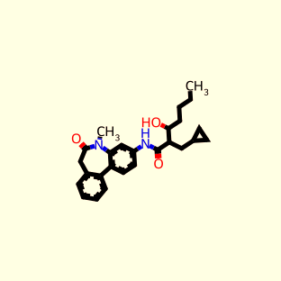 CCCCC(O)C(CC1CC1)C(=O)Nc1ccc2c(c1)N(C)C(=O)Cc1ccccc1-2